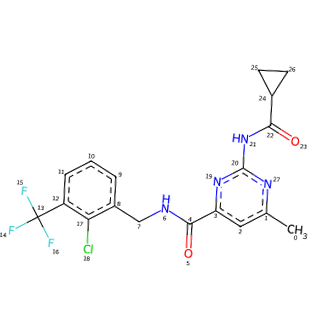 Cc1cc(C(=O)NCc2cccc(C(F)(F)F)c2Cl)nc(NC(=O)C2CC2)n1